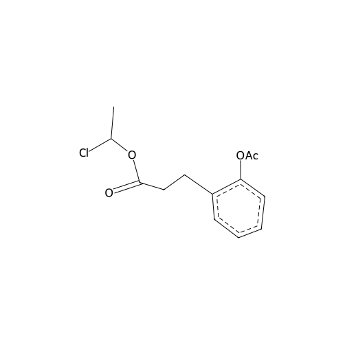 CC(=O)Oc1ccccc1CCC(=O)OC(C)Cl